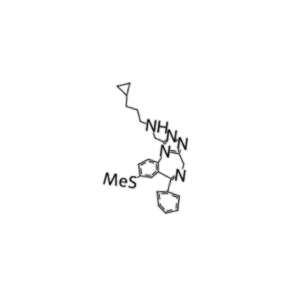 CSc1ccc2c(c1)C(c1ccccc1)=NCc1nnc(CNCCCC3CC3)n1-2